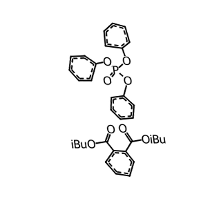 CC(C)COC(=O)c1ccccc1C(=O)OCC(C)C.O=P(Oc1ccccc1)(Oc1ccccc1)Oc1ccccc1